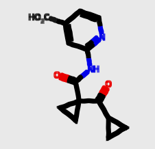 O=C(O)c1ccnc(NC(=O)C2(C(=O)C3CC3)CC2)c1